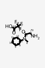 C[C@H](N)C(=O)N(C)c1ccccc1.O=C(O)C(F)(F)F